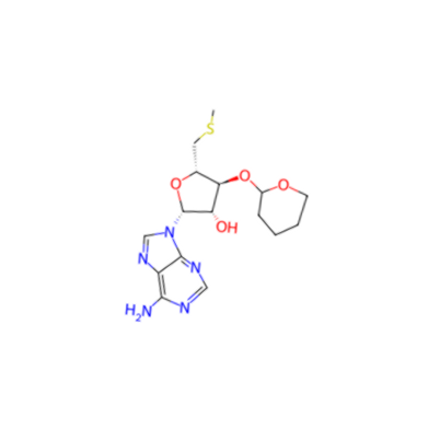 CSC[C@H]1O[C@@H](n2cnc3c(N)ncnc32)[C@@H](O)[C@@H]1OC1CCCCO1